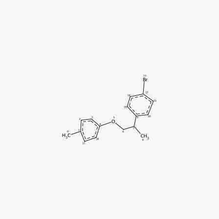 Cc1ccc(OCC(C)c2ccc(Br)cc2)cc1